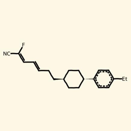 CCc1ccc([C@H]2CC[C@H](CCC=CC=C(F)C#N)CC2)cc1